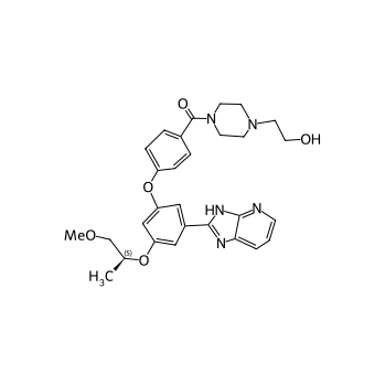 COC[C@H](C)Oc1cc(Oc2ccc(C(=O)N3CCN(CCO)CC3)cc2)cc(-c2nc3cccnc3[nH]2)c1